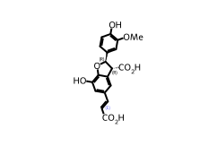 COc1cc([C@@H]2Oc3c(O)cc(/C=C/C(=O)O)cc3[C@H]2C(=O)O)ccc1O